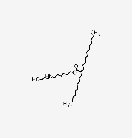 CCCCCCCCCCCCC(CCCCCCCCCC)C(=O)OCCCCCCNCCCO